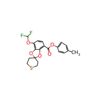 Cc1ccc(OC(=O)c2ccc(OC(F)F)c3c2OC2(CCSCC2)O3)cc1